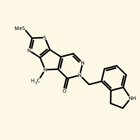 CSc1nc2c(s1)c1cnn(Cc3cccc4c3CCN4)c(=O)c1n2C